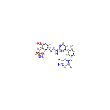 C[C@H]1CN(Cc2ccc(F)c(-c3ccnc(NCCc4ccc(O)c(CS(N)(=O)=O)c4)n3)c2)[C@@H](C)CN1